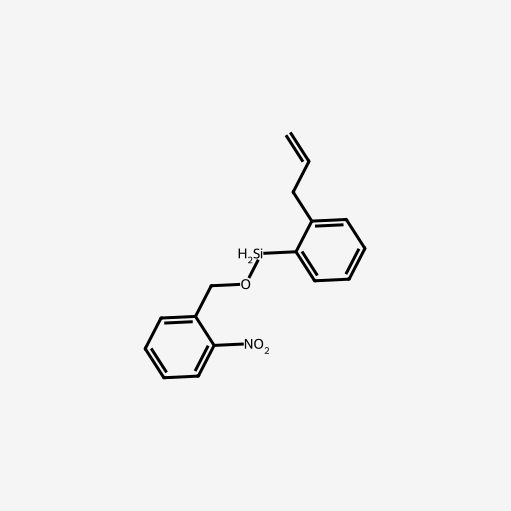 C=CCc1ccccc1[SiH2]OCc1ccccc1[N+](=O)[O-]